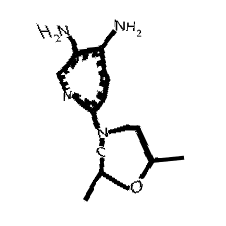 CC1CN(c2cc(N)c(N)cn2)CC(C)O1